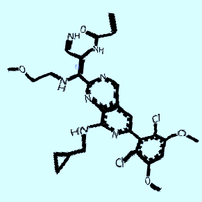 C=CC(=O)N/C(C=N)=C(/NCCOC)c1ncc2cc(-c3c(Cl)c(OC)cc(OC)c3Cl)nc(NCC3CC3)c2n1